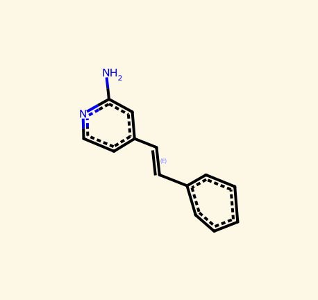 Nc1cc(/C=C/c2ccccc2)ccn1